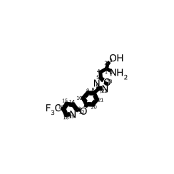 NC(CO)Cc1nc(-c2ccc(Oc3ccc(C(F)(F)F)cn3)cc2)no1